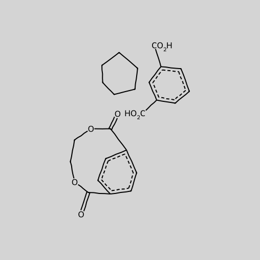 C1CCCCC1.O=C(O)c1cccc(C(=O)O)c1.O=C1OCCOC(=O)c2ccc1cc2